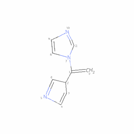 C=C(C1C=CN=C1)n1ccnc1